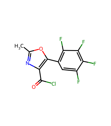 Cc1nc(C(=O)Cl)c(-c2cc(F)c(F)c(F)c2F)o1